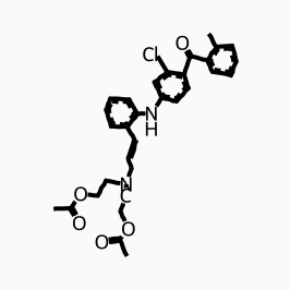 CC(=O)OCCN(CC=Cc1ccccc1Nc1ccc(C(=O)c2ccccc2C)c(Cl)c1)CCOC(C)=O